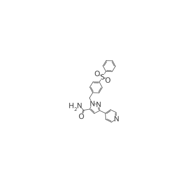 NC(=O)c1cc(-c2ccncc2)nn1Cc1ccc(S(=O)(=O)c2ccccc2)cc1